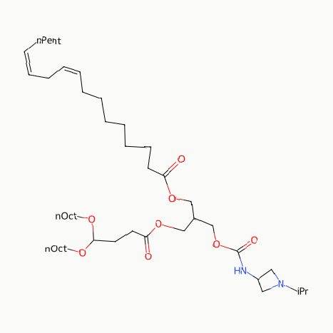 CCCCC/C=C\C/C=C\CCCCCCCC(=O)OCC(COC(=O)CCC(OCCCCCCCC)OCCCCCCCC)COC(=O)NC1CN(C(C)C)C1